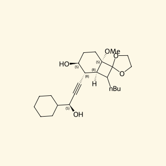 CCCCC1[C@H]2[C@H](C#C[C@@H](O)C3CCCCC3)[C@@H](O)CC[C@@]2(OC)C12OCCO2